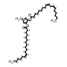 CCCCC/C=C\C/C=C\CCCCCCCC(=O)O[C@H]1CN(C)C[C@H]1OC(=O)CCCCCCCCCC/C=C\CCCCC